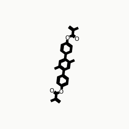 C=C(C)C(=O)OC1=CCC(c2cc(C)c(-c3ccc(OC(=O)C(=C)C)cc3)cc2C)C=C1